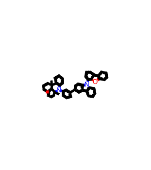 CC12C=CC=CC13C=CC=CC3(C)N(c1cccc(-c3ccc4c(c3)c3ccccc3n4-c3cccc4c3oc3ccccc34)c1)c1ccccc12